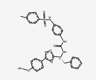 CCCOc1ccc(-c2noc([C@@H](Cc3ccccc3)NC(=O)Nc3ccc(NS(=O)(=O)c4ccc(C)cc4)cc3)n2)cc1